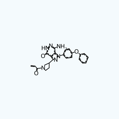 C=CC(=O)N1CCC(c2nn(-c3ccc(Oc4ccccc4)cc3)c3c(N)n[nH]c(=O)c23)C1